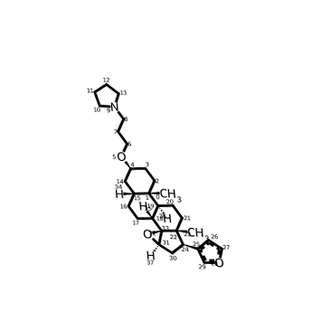 C[C@]12CC[C@H](OCCCN3CCCC3)C[C@H]1CC[C@@H]1[C@@H]2CC[C@]2(C)[C@@H](c3ccoc3)C[C@H]3O[C@]132